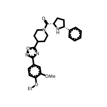 CCOc1ccc(-c2noc(C3CCN(C(=O)[C@@H]4CC[C@H](c5ccccc5)N4)CC3)n2)cc1OC